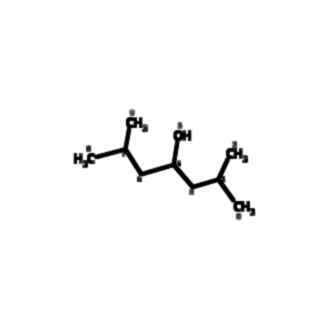 CC(C)CC(O)CC(C)C